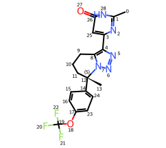 Cc1nc(-c2nnn3c2CCC[C@@]3(C)c2ccc(OC(F)(F)F)cc2)cc(=O)[nH]1